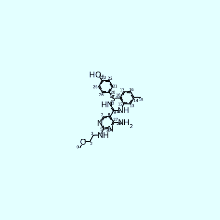 COCCNc1ncc(C(=N)Nc2cc(C)ccc2Sc2ccc(O)cc2)c(N)n1